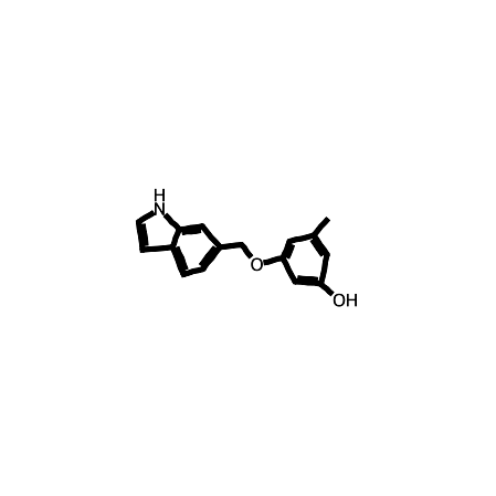 Cc1cc(O)cc(OCc2ccc3cc[nH]c3c2)c1